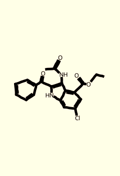 CCOC(=O)c1cc(Cl)cc2[nH]c(C(=O)c3ccccc3)c(NC(C)=O)c12